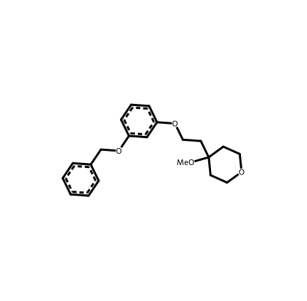 COC1(CCOc2cccc(OCc3ccccc3)c2)CCOCC1